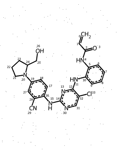 C=CC(=O)Nc1ccccc1Nc1nc(Nc2ccc(N3CCCC3CO)cc2C#N)ncc1Cl